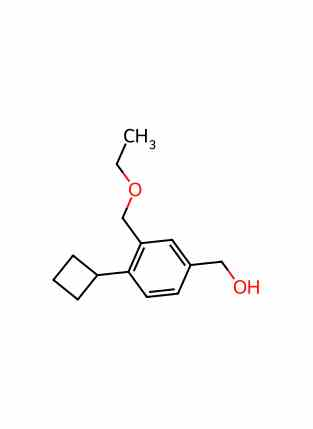 CCOCc1cc(CO)ccc1C1CCC1